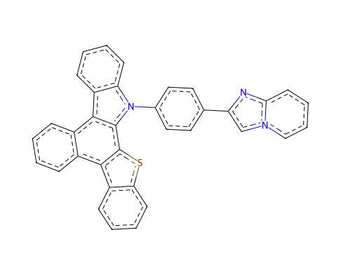 c1ccc2c(c1)sc1c2c2ccccc2c2c3ccccc3n(-c3ccc(-c4cn5ccccc5n4)cc3)c12